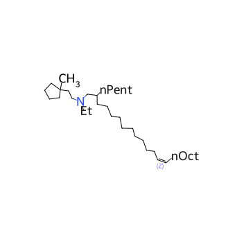 CCCCCCCC/C=C\CCCCCCCCCCC(CCCCC)CN(CC)CCC1(C)CCCC1